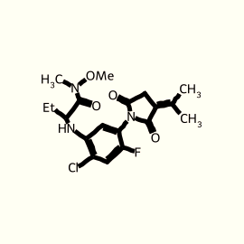 CCC(Nc1cc(N2C(=O)CC(=C(C)C)C2=O)c(F)cc1Cl)C(=O)N(C)OC